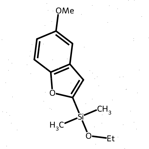 CCO[Si](C)(C)c1cc2cc(OC)ccc2o1